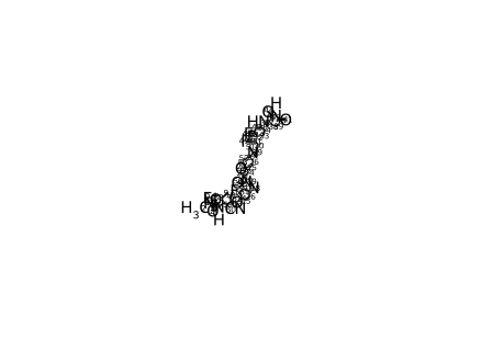 CCN(C)S(=O)(=O)Nc1ccc(F)c(Oc2ccc3ncn([C@H]4COC5(CCC(N6CC[C@@H](c7ccc(NC8CCC(=O)NC8=O)cc7F)C(F)(F)C6)CC5)C4)c(=O)c3c2)c1C#N